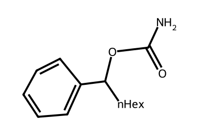 CCCCCCC(OC(N)=O)c1ccccc1